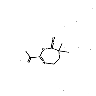 C=C(C)C1=NCCC(C)(C)C(=O)O1